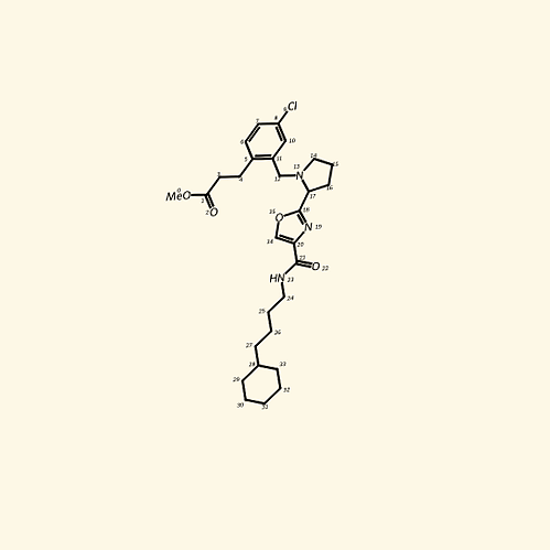 COC(=O)CCc1ccc(Cl)cc1CN1CCCC1c1nc(C(=O)NCCCCC2CCCCC2)co1